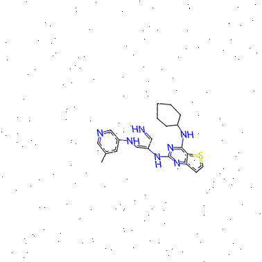 Cc1cncc(N/C=C(\C=N)Nc2nc(NC3CCCCC3)c3sccc3n2)c1